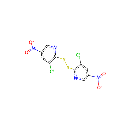 O=[N+]([O-])c1cnc(SSc2ncc([N+](=O)[O-])cc2Cl)c(Cl)c1